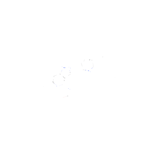 CCC(=O)Nc1nc(C)cc2nn(Cc3cnc(OCC(F)(F)F)c(C)c3)cc12